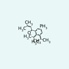 CC(C)=CC(=O)c1cccc(=C(C)C)c1=C(C)C.P